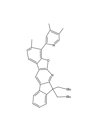 Cc1cnc(-c2c(C)ccc3c2oc2nc4c(cc23)-c2ccccc2C4(CC(C)(C)C)CC(C)(C)C)cc1C